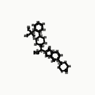 OC(c1cn2nc(N3CCOCC3)ccc2n1)N1CCC(c2ccccc2C(F)(F)F)CC1